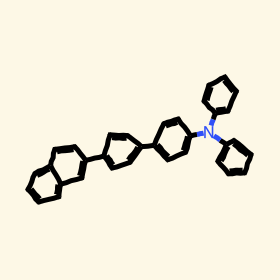 c1ccc(N(c2ccccc2)c2ccc(-c3ccc(-c4ccc5ccccc5c4)cc3)cc2)cc1